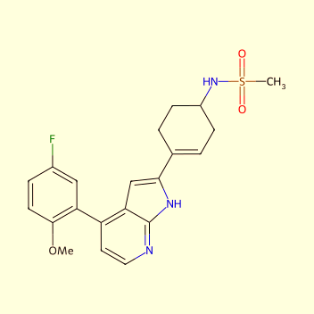 COc1ccc(F)cc1-c1ccnc2[nH]c(C3=CCC(NS(C)(=O)=O)CC3)cc12